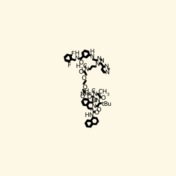 C[C@@H](C(=O)NC(C(=O)N1Cc2cc(OCCOCCOCC(=O)N(C)CCCn3c(CNc4cccc(C(=O)NCc5c(F)cccc5F)c4)nnc3-c3ccncn3)ccc2C[C@H]1C(=O)N[C@@H]1CCCc2ccccc21)C(C)(C)C)N(C)C(=O)OC(C)(C)C